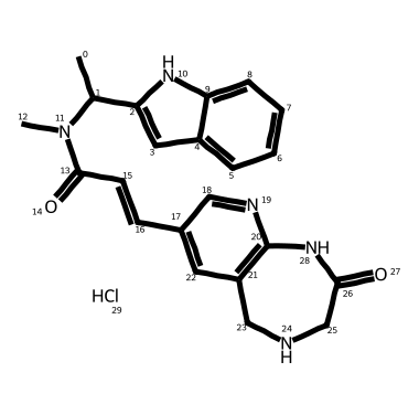 CC(c1cc2ccccc2[nH]1)N(C)C(=O)C=Cc1cnc2c(c1)CNCC(=O)N2.Cl